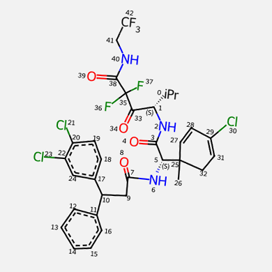 CC(C)[C@H](NC(=O)[C@@H](NC(=O)CC(c1ccccc1)c1ccc(Cl)c(Cl)c1)C1(C)C=CC(Cl)=CC1)C(=O)C(F)(F)C(=O)NCC(F)(F)F